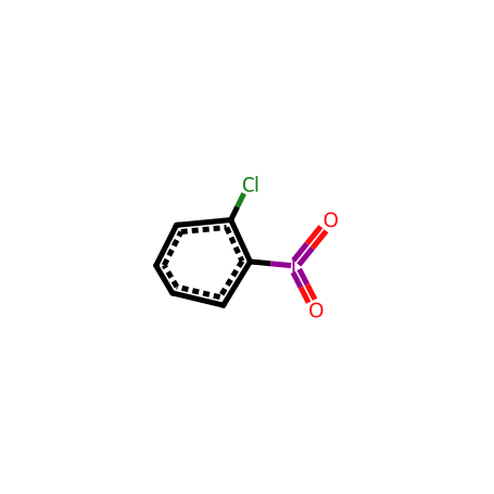 O=I(=O)c1ccccc1Cl